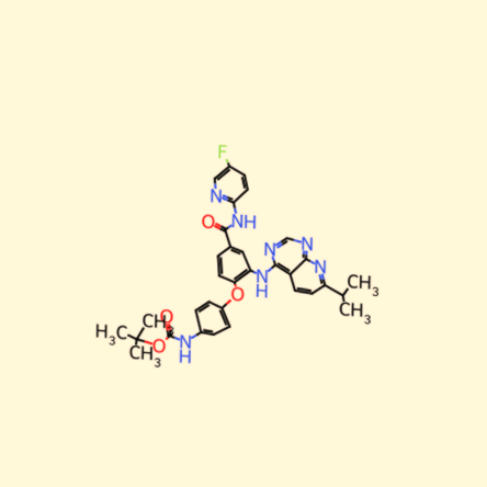 CC(C)c1ccc2c(Nc3cc(C(=O)Nc4ccc(F)cn4)ccc3Oc3ccc(NC(=O)OC(C)(C)C)cc3)ncnc2n1